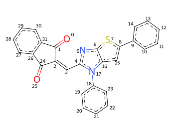 O=C1C(=Cc2nc3sc(-c4ccccc4)cc3n2-c2ccccc2)C(=O)c2ccccc21